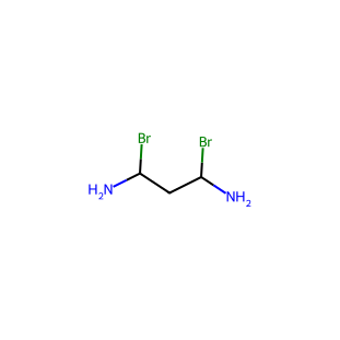 NC(Br)CC(N)Br